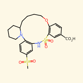 CS(=O)(=O)c1ccc2c(c1)NS(=O)(=O)c1cc(C(=O)O)ccc1OCCCCC1CCCCN21